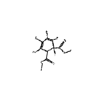 CC(C)C1=C(F)C(F)=C(F)C(F)(C(=O)OF)C1C(=O)OF